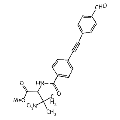 COC(=O)C(NC(=O)c1ccc(C#Cc2ccc(C=O)cc2)cc1)C(C)(C)[N+](=O)[O-]